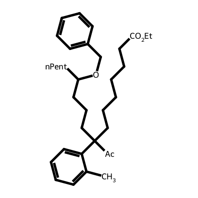 CCCCCC(CCCC(CCCCCCC(=O)OCC)(C(C)=O)c1ccccc1C)OCc1ccccc1